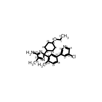 CCOC1CCC(C2(c3cc(-c4cncc(Cl)c4)ccc3C)N=C(C)C(N)=N2)CC1